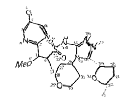 COC(c1ncc(Cl)cn1)C(C)S(=O)(=O)Nc1nnc([C@@H]2CC[C@H](C)O2)n1C1CCOCC1